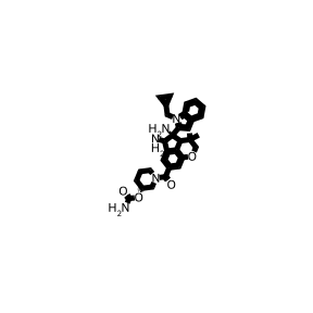 CC1(C)COc2cc(C(=O)N3CCC[C@@H](OC(N)=O)C3)cc3c2C1[C@@](N)(c1cc2ccccc2n1CC1CC1)C3N